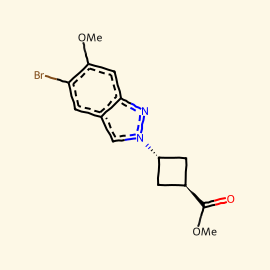 COc1cc2nn([C@H]3C[C@H](C(=O)OC)C3)cc2cc1Br